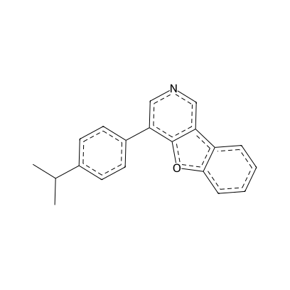 CC(C)c1ccc(-c2cncc3c2oc2ccccc23)cc1